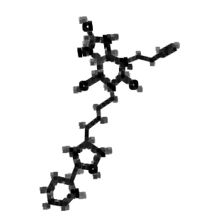 C#CCCn1c(=O)n(CCCCc2noc(-c3ccccn3)n2)c(=O)c2[nH]c(Cl)nc21